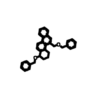 c1ccc(COCc2cc3ccccc3c3ccc4c(c23)CCCC4OCc2ccccc2)cc1